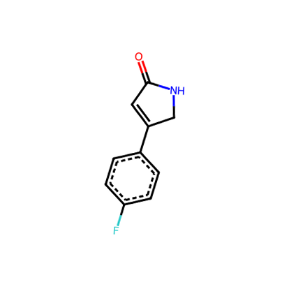 O=C1C=C(c2ccc(F)cc2)CN1